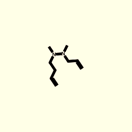 C=CCCN(C)N(C)CC=C